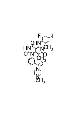 Cc1c(=O)n(C)c(Nc2ccc(I)cc2F)c2c(=O)[nH]c(=O)n(-c3cccc(C(=O)N4CCN(C)CC4)c3)c12